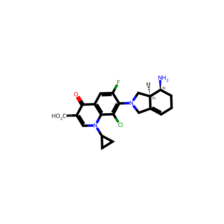 N[C@H]1CCC=C2CN(c3c(F)cc4c(=O)c(C(=O)O)cn(C5CC5)c4c3Cl)C[C@H]21